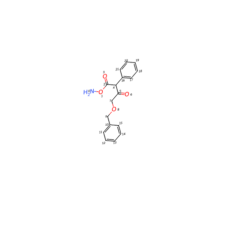 NOC(=O)C(C(=O)COCc1ccccc1)c1ccccc1